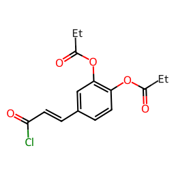 CCC(=O)Oc1ccc(C=CC(=O)Cl)cc1OC(=O)CC